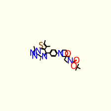 Cc1sc2c(c1C)C(c1ccc(N3CCOC4(CCN(C(=O)OC(C)(C)C)C4)C3)cc1)=N[C@@H](C)c1nnc(C)n1-2